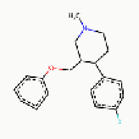 CN1CCC(c2ccc(F)cc2)C(COc2ccccc2)C1